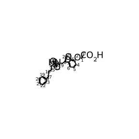 O=C(O)COc1cccc2c(CNS(=O)(=O)CCCCc3ccccc3)coc12